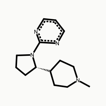 CN1CCC([C@@H]2CCCN2c2ncccn2)CC1